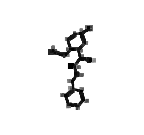 N=Pc1ccc(Cl)cc1C(=O)NOCc1ccccc1